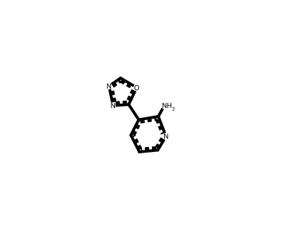 Nc1ncccc1-c1nnco1